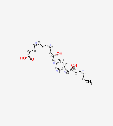 [3H]C(/C=C\C([3H])=C\[C@@H](O)C/C=C\C/C=C\CCC(=O)O)=C\[C@@H](O)C/C=C\CC